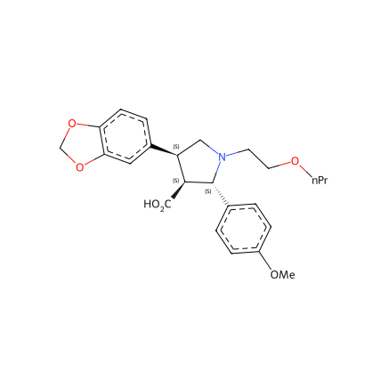 CCCOCCN1C[C@H](c2ccc3c(c2)OCO3)[C@H](C(=O)O)[C@H]1c1ccc(OC)cc1